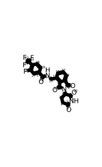 O=C1CCC(N2C(=O)c3cccc(CNC(=O)c4ccc(C(F)(F)F)c(F)c4)c3C2=O)C(=O)N1